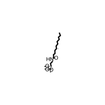 CCCCCCC[CH]CCCC(=O)NCCC[Si](OC)(OC)OC